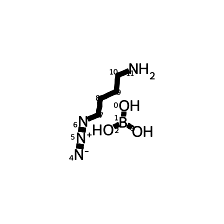 OB(O)O.[N-]=[N+]=NCCCCN